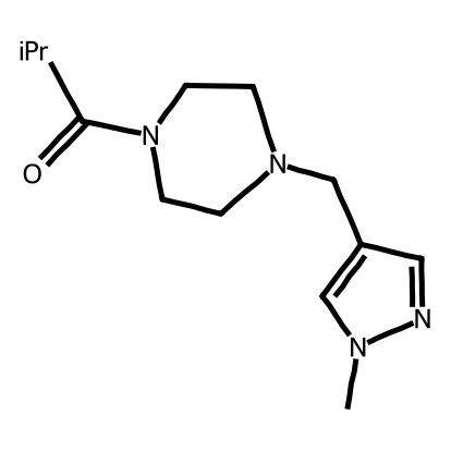 CC(C)C(=O)N1CCN(Cc2cnn(C)c2)CC1